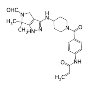 C=CC(=O)Nc1ccc(C(=O)N2CCC(Nc3n[nH]c4c3CN(C=O)C4(C)C)CC2)cc1